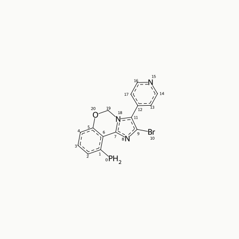 Pc1cccc2c1-c1nc(Br)c(-c3ccncc3)n1CO2